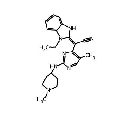 CCN1C(=C(C#N)c2nc(NC3CCN(C)CC3)ncc2C)Nc2ccccc21